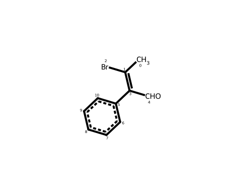 CC(Br)=C(C=O)c1ccccc1